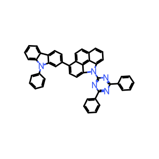 c1ccc(-c2nc(-c3ccccc3)nc(-n3c4cccc5ccc6c(-c7ccc8c9ccccc9n(-c9ccccc9)c8c7)ccc3c6c54)n2)cc1